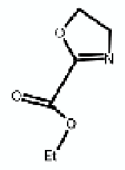 CCOC(=O)C1=NCCO1